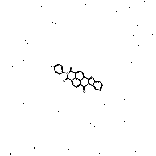 O=C1c2ccc3c(=O)n4c5ccccc5nc4c4ccc(c2c34)C(=O)N1c1ccccc1